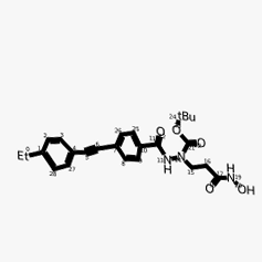 CCc1ccc(C#Cc2ccc(C(=O)NN(CCC(=O)NO)C(=O)OC(C)(C)C)cc2)cc1